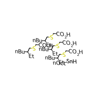 CCCCC(CC)CSCC(=O)O.CCCCC(CC)CSCC(=O)O.CCCCC(CC)CSCC(=O)O.CCCCC(CC)CSCC(=O)O.CCCCCCC[CH2][SnH]